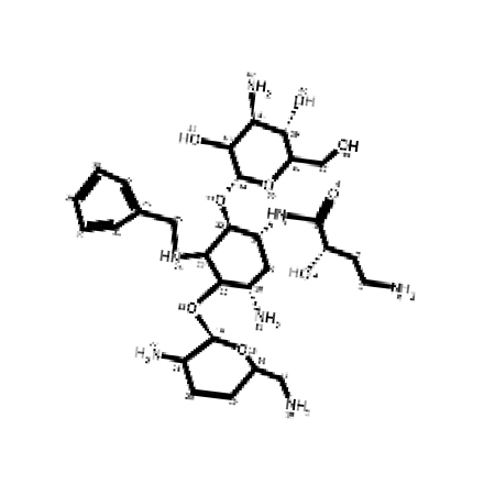 NCC[C@H](O)C(=O)N[C@@H]1C[C@H](N)C(O[C@H]2OC(CN)CCC2N)C(NCc2ccccc2)[C@H]1O[C@H]1OC(CO)[C@@H](O)[C@H](N)C1O